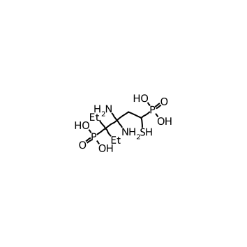 CCC(CC)(C(N)(N)CC(S)P(=O)(O)O)P(=O)(O)O